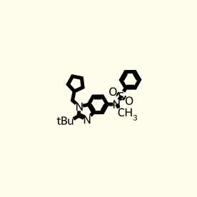 CN(c1ccc2c(c1)nc(C(C)(C)C)n2CC1CCCC1)S(=O)(=O)c1ccccc1